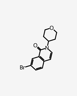 O=c1c2cc(Br)ccc2ccn1C1CCOCC1